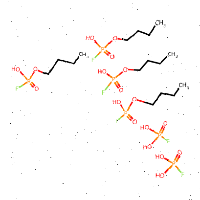 CCCCOP(=O)(O)F.CCCCOP(=O)(O)F.CCCCOP(=O)(O)F.CCCCOP(=O)(O)F.O=P(O)(O)F.O=P(O)(O)F